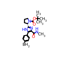 Bc1ccc(-c2[nH]c([C@@H]3CCCN3C(=O)OC(C)(C)C)nc2C(=O)NC)cc1